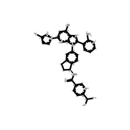 Nc1ncccc1-c1nc2c(Br)cc(-n3ccc(F)n3)nc2n1-c1ccc2c(c1)CC[C@@H]2NC(=O)c1ccc(C(F)F)nc1